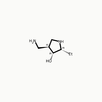 CC[C@H]1NC[C@H](CN)[C@H]1O